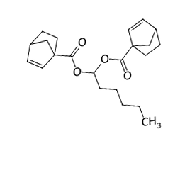 CCCCCC(OC(=O)C12C=CC(CC1)C2)OC(=O)C12C=CC(CC1)C2